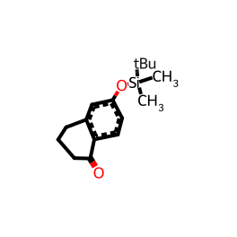 CC(C)(C)[Si](C)(C)Oc1ccc2c(c1)CCCC2=O